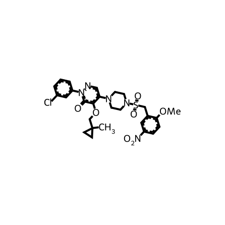 COc1ccc([N+](=O)[O-])cc1CS(=O)(=O)N1CCN(c2cnn(-c3cccc(Cl)c3)c(=O)c2OCC2(C)CC2)CC1